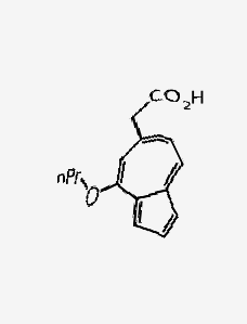 CCCOc1cc(CC(=O)O)ccc2cccc1-2